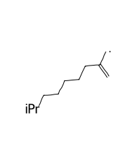 [CH2]C(=C)CCCCCC(C)C